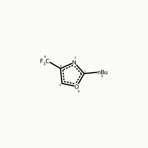 CCCCc1nc(C(F)(F)F)co1